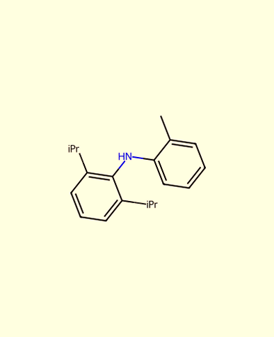 Cc1ccccc1Nc1c(C(C)C)cccc1C(C)C